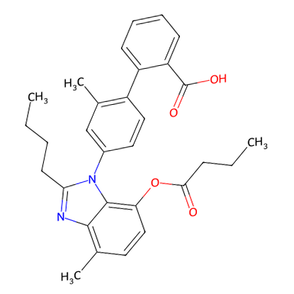 CCCCc1nc2c(C)ccc(OC(=O)CCC)c2n1-c1ccc(-c2ccccc2C(=O)O)c(C)c1